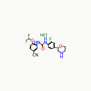 Cl.N#Cc1ccc(OC(F)F)c(NC(=O)Nc2ccc([C@@H]3CNCCO3)cc2F)c1